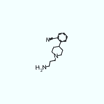 N#Cc1ccccc1C1CCN(CCCN)CC1